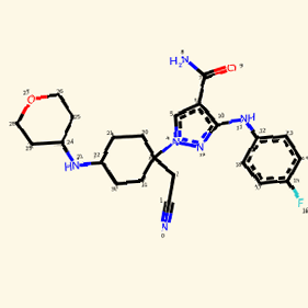 N#CCC1(n2cc(C(N)=O)c(Nc3ccc(F)cc3)n2)CCC(NC2CCOCC2)CC1